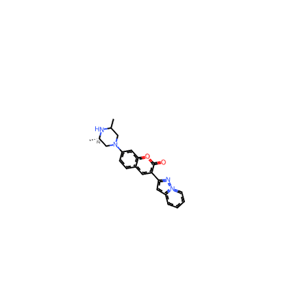 CC1CN(c2ccc3cc(-c4cc5ccccn5n4)c(=O)oc3c2)C[C@H](C)N1